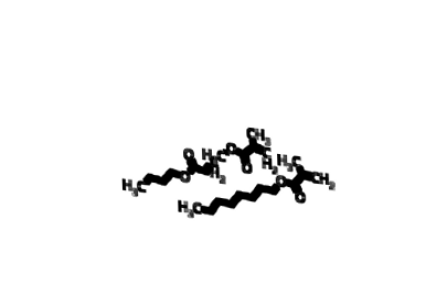 C=C(C)C(=O)OC.C=C(C)C(=O)OCCCCCCCC.C=CC(=O)OCCCC